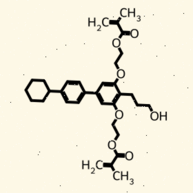 C=C(C)C(=O)OCCOc1cc(-c2ccc(C3CCCCC3)cc2)cc(OCCOC(=O)C(=C)C)c1CCCO